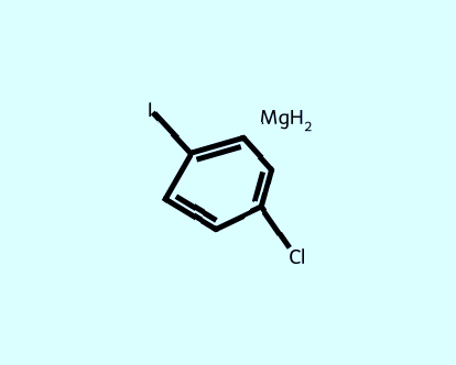 Clc1ccc(I)cc1.[MgH2]